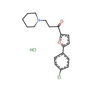 Cl.O=C(CCN1CCCCC1)c1ccc(-c2ccc(Cl)cc2)o1